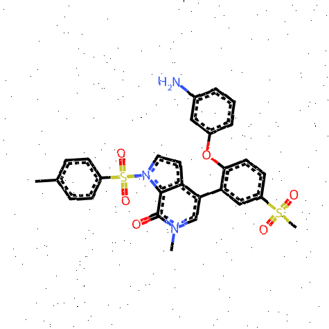 Cc1ccc(S(=O)(=O)n2ccc3c(-c4cc(S(C)(=O)=O)ccc4Oc4cccc(N)c4)cn(C)c(=O)c32)cc1